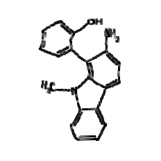 Cn1c2ccccc2c2ccc(N)c(-c3ccccc3O)c21